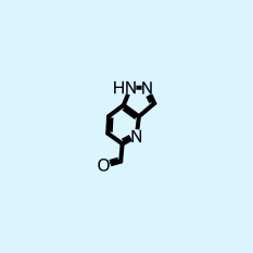 O=Cc1ccc2[nH]ncc2n1